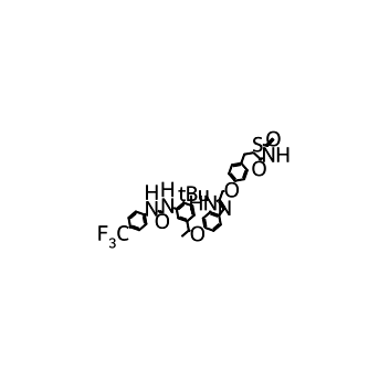 CC(Oc1ccc2nc(COc3ccc(CC4SC(=O)NC4=O)cc3)[nH]c2c1)c1ccc(C(C)(C)C)c(NC(=O)Nc2ccc(C(F)(F)F)cc2)c1